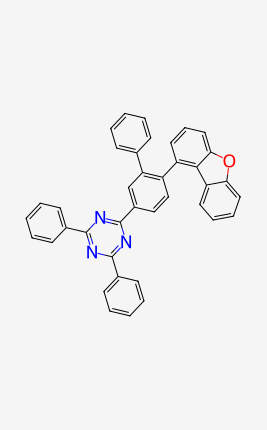 c1ccc(-c2nc(-c3ccccc3)nc(-c3ccc(-c4cccc5oc6ccccc6c45)c(-c4ccccc4)c3)n2)cc1